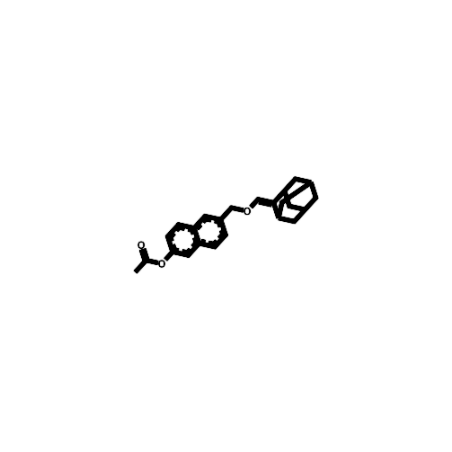 CC(=O)Oc1ccc2cc(COC=C3C4CC5CC(C4)CC3C5)ccc2c1